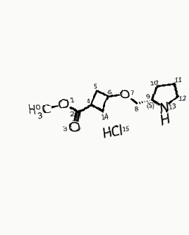 COC(=O)C1CC(OC[C@@H]2CCCN2)C1.Cl